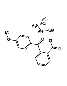 CC(C)(C)NN.CCOc1ccc(C(=O)c2ccccc2C(=O)Cl)cc1.Cl.Cl